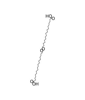 O=C(O)CCCCCCCCCCCCCCCCCOOCCCCCCCCCCCCCCCCCC(=O)O